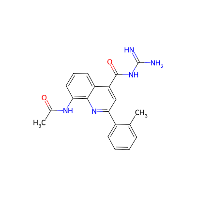 CC(=O)Nc1cccc2c(C(=O)NC(=N)N)cc(-c3ccccc3C)nc12